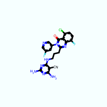 N#Cc1c(N)nc(N)nc1NCCCc1nc2c(F)ccc(Cl)c2c(=O)n1-c1cncc(F)c1